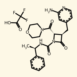 C[C@@H](NC(=O)N1C(=O)[C@H](Cc2ccnc(N)c2)[C@H]1C(=O)N1CCOCC1)c1ccccc1.O=C(O)C(F)(F)F